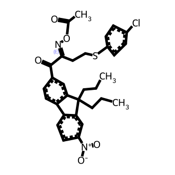 CCCC1(CCC)c2cc(C(=O)/C(CCSc3ccc(Cl)cc3)=N/OC(C)=O)ccc2-c2ccc([N+](=O)[O-])cc21